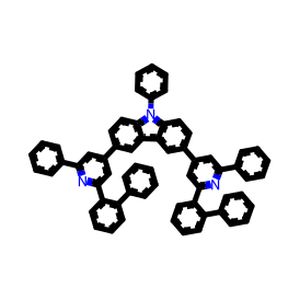 c1ccc(-c2cc(-c3ccc4c(c3)c3cc(-c5cc(-c6ccccc6)nc(-c6ccccc6-c6ccccc6)c5)ccc3n4-c3ccccc3)cc(-c3ccccc3-c3ccccc3)n2)cc1